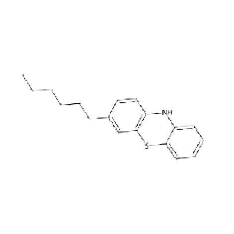 CCCCCCc1ccc2c(c1)Sc1ccccc1N2